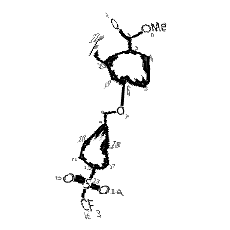 COC(=O)c1ccc(OCc2ccc(S(=O)(=O)C(F)(F)F)cc2)cc1F